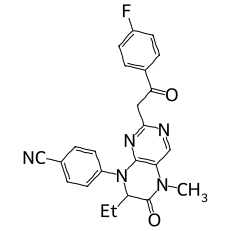 CCC1C(=O)N(C)c2cnc(CC(=O)c3ccc(F)cc3)nc2N1c1ccc(C#N)cc1